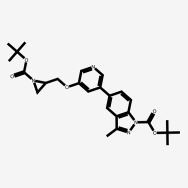 Cc1nn(C(=O)OC(C)(C)C)c2ccc(-c3cncc(OCC4CN4C(=O)OC(C)(C)C)c3)cc12